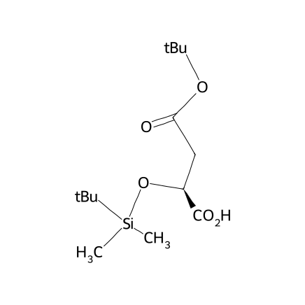 CC(C)(C)OC(=O)C[C@H](O[Si](C)(C)C(C)(C)C)C(=O)O